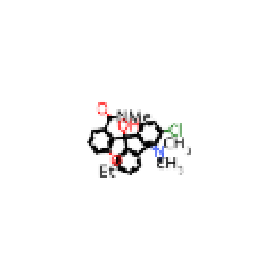 CCOc1cccc(C(=O)NC)c1C(O)(c1ccc(Cl)cc1)c1ccccc1CN(C)C